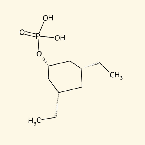 CC[C@@H]1C[C@H](CC)C[C@H](OP(=O)(O)O)C1